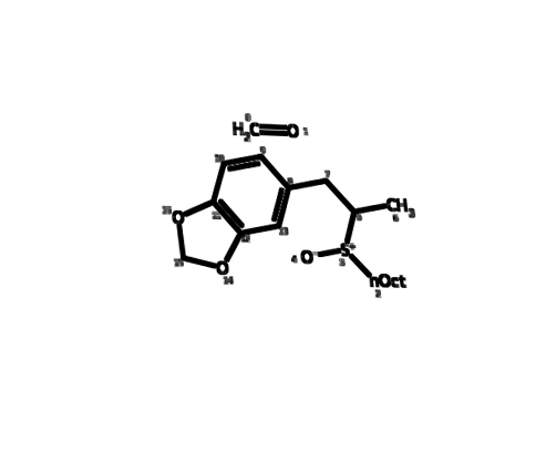 C=O.CCCCCCCC[S+]([O-])C(C)Cc1ccc2c(c1)OCO2